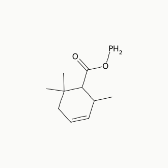 CC1C=CCC(C)(C)C1C(=O)OP